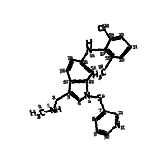 CNCc1cn(Sc2cccnc2)c2cc(Nc3c(C)cccc3Cl)ccc12